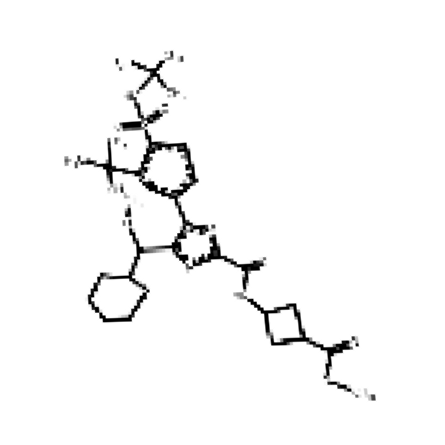 COC(=O)C1CC(NC(=O)c2nc(C(OC)C3CCCCC3)c(-c3ccc(S(=O)(=O)NC(C)(C)C)c(C(C)(C)C)c3)s2)C1